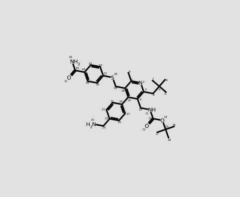 Cc1nc(CC(C)(C)C)c(CNC(=O)OC(C)(C)C)c(-c2ccc(CN)cc2)c1CSc1ccc(C(N)=O)cc1